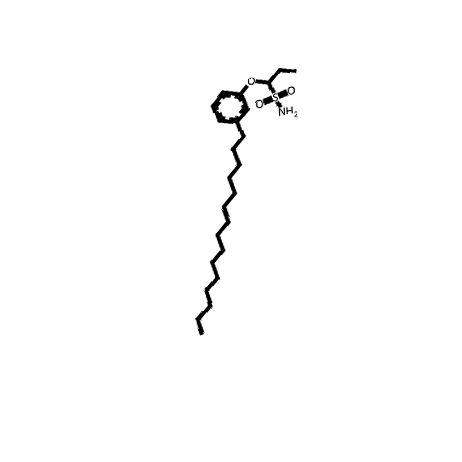 CCCCCCCCCCCCCCCc1cccc(OC(CC)S(N)(=O)=O)c1